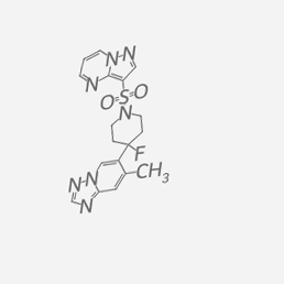 Cc1cc2ncnn2cc1C1(F)CCN(S(=O)(=O)c2cnn3cccnc23)CC1